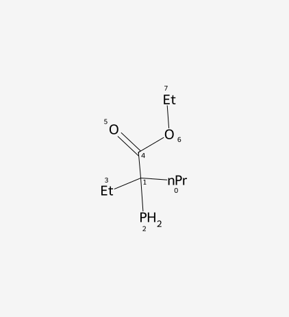 CCCC(P)(CC)C(=O)OCC